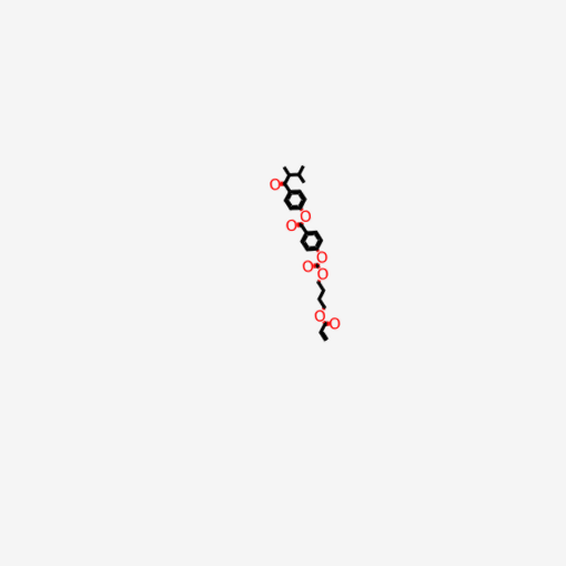 C=CC(=O)OCCCCOC(=O)Oc1ccc(C(=O)Oc2ccc(C(=O)C(C)C(C)C)cc2)cc1